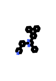 c1ccc(-c2cc(-c3ccc4c5ccccc5c5ccccc5c4c3)nc(-c3cccc(-c4ccncc4)c3)n2)cc1